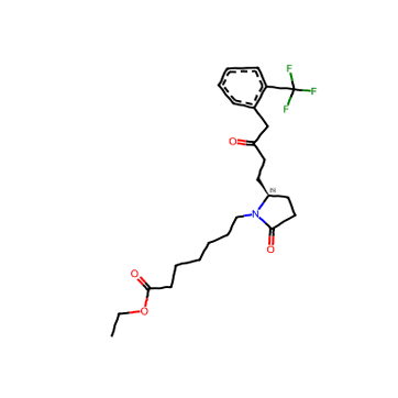 CCOC(=O)CCCCCCN1C(=O)CC[C@@H]1CCC(=O)Cc1ccccc1C(F)(F)F